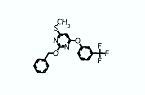 CSc1cc(Oc2cccc(C(F)(F)F)c2)nc(OCc2ccccc2)n1